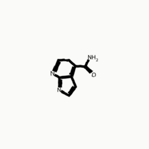 NC(=O)C1=C2C=CN=C2N=CC1